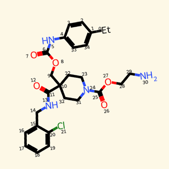 CCc1ccc(NC(=O)OCC2(C(=O)NCc3ccccc3Cl)CCN(C(=O)OCCN)CC2)cc1